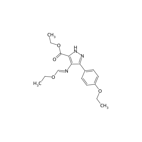 CCOC=Nc1c(-c2ccc(OCC)cc2)n[nH]c1C(=O)OCC